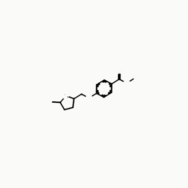 COC(=O)c1ccc(OCC2CCC(C)N2)cc1